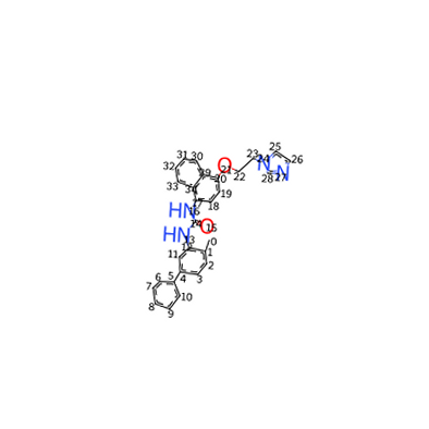 Cc1ccc(-c2ccccc2)cc1NC(=O)Nc1ccc(OCCn2ccnc2)c2ccccc12